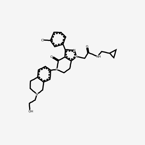 O=C(Cn1nc(-c2cccc(Cl)c2)c2c1CCN(c1ccc3c(c1)CN(CCO)CC3)C2=O)NCC1CC1